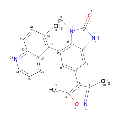 CCn1c(=O)[nH]c2cc(-c3c(C)noc3C)cc(-c3c(C)ccc4ncccc34)c21